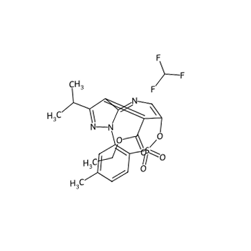 CCOC(=O)c1c2cnc3c1c(C(C)C)nn3-c1cc(C)ccc1S(=O)(=O)O2.FC(F)F